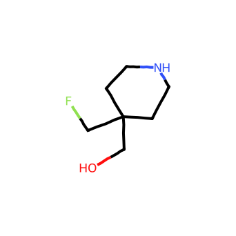 OCC1(CF)CCNCC1